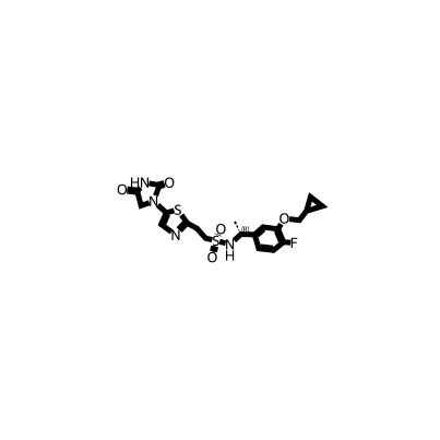 C[C@@H](NS(=O)(=O)CCc1ncc(N2CC(=O)NC2=O)s1)c1ccc(F)c(OCC2CC2)c1